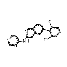 Clc1cccc(Cl)c1-c1ccc2cnc(Nc3ccncn3)cc2c1